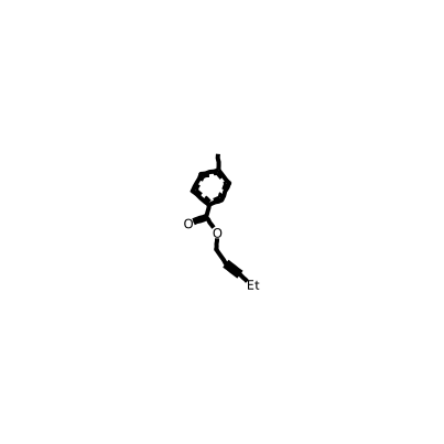 CCC#CCOC(=O)c1ccc(C)cc1